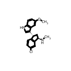 CN[C@@H]1C[C@@H](c2c[nH]c3ccc(OC)cc23)c2ccc(Cl)cc21